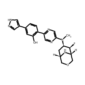 CN(c1cnc(-c2ccc(-c3cn[nH]c3)cc2O)cn1)[C@@H]1C[C@H]2COC[C@H](N2)[C@@H]1F